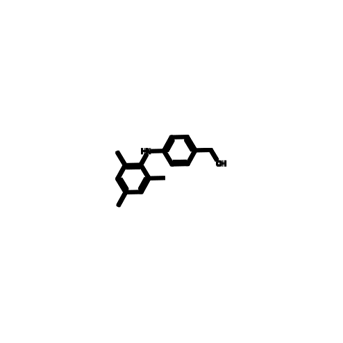 Cc1cc(C)c(Nc2ccc(CO)cc2)c(C)c1